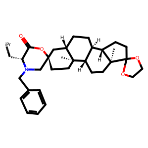 CC(C)C[C@@H]1C(=O)O[C@@]2(CC[C@@]3(C)[C@@H](CC[C@@H]4[C@@H]3CC[C@@]3(C)[C@H]4CCC34OCCO4)C2)CN1Cc1ccccc1